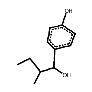 CCC(C)C(O)c1ccc(O)cc1